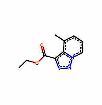 CCOC(=O)c1nnn2cccc(C)c12